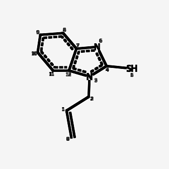 C=CCn1c(S)nc2ccccc21